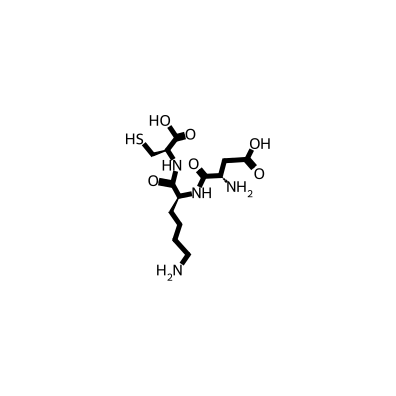 NCCCC[C@H](NC(=O)[C@@H](N)CC(=O)O)C(=O)N[C@@H](CS)C(=O)O